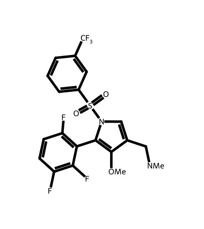 CNCc1cn(S(=O)(=O)c2cccc(C(F)(F)F)c2)c(-c2c(F)ccc(F)c2F)c1OC